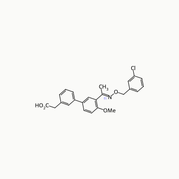 COc1ccc(-c2cccc(CC(=O)O)c2)cc1/C(C)=N/OCc1cccc(Cl)c1